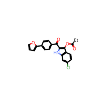 CCC(=O)Oc1c(C(=O)c2ccc(-c3ccco3)cc2)[nH]c2cc(Cl)ccc12